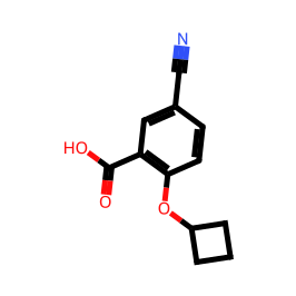 N#Cc1ccc(OC2CCC2)c(C(=O)O)c1